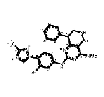 CNc1nc(Nc2ccc(-n3cnc(C)n3)c(F)c2)nc2c1CNCC2c1ccccc1